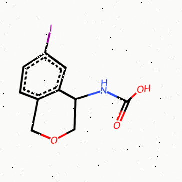 O=C(O)NC1COCc2ccc(I)cc21